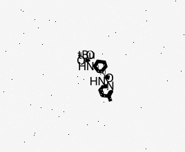 Cc1ccc(NC(=O)[C@H]2CCC[C@@H](NC(=O)OC(C)(C)C)C2)nc1